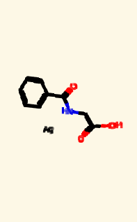 O=C(O)CNC(=O)c1ccccc1.[Ag]